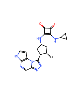 CC[C@@H]1C[C@H](Nc2c(NC3CC3)c(=O)c2=O)C[C@@H]1c1nnc2cnc3[nH]ccc3n12